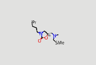 CSCN(C)C[C@H]1CN(CCCC(C)C)C(=O)O1